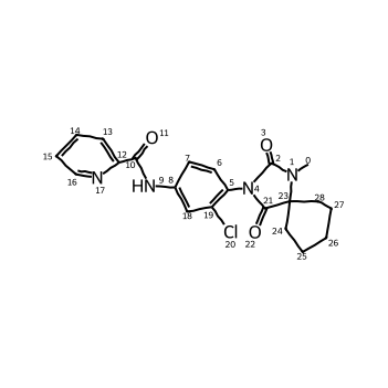 CN1C(=O)N(c2ccc(NC(=O)c3ccccn3)cc2Cl)C(=O)C12CCCCC2